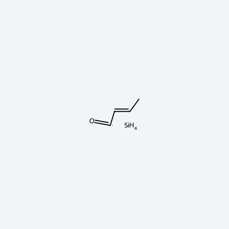 CC=C[C]=O.[SiH4]